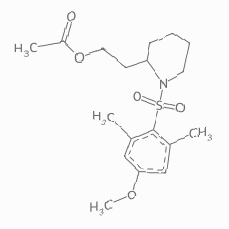 COc1cc(C)c(S(=O)(=O)N2CCCCC2CCOC(C)=O)c(C)c1